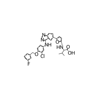 CC(C)C(NCc1ccc(-c2ccc3ncnc(Nc4ccc(OCc5cccc(F)c5)c(Cl)c4)c3c2)o1)C(=O)O